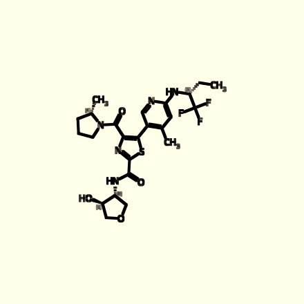 CC[C@@H](Nc1cc(C)c(-c2sc(C(=O)N[C@@H]3COC[C@H]3O)nc2C(=O)N2CCC[C@@H]2C)cn1)C(F)(F)F